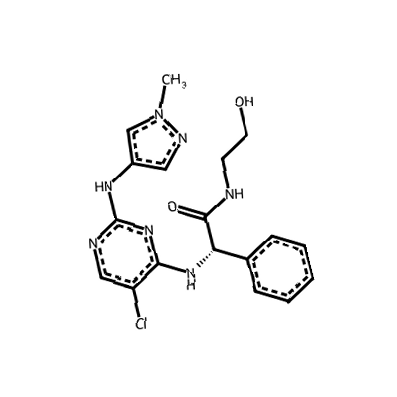 Cn1cc(Nc2ncc(Cl)c(N[C@H](C(=O)NCCO)c3ccccc3)n2)cn1